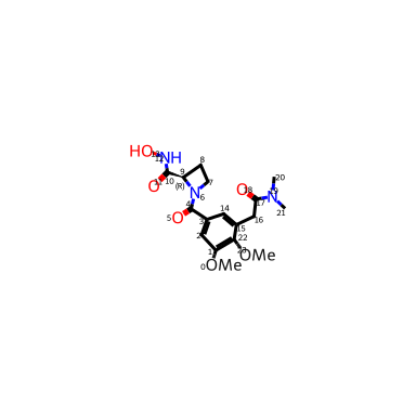 COc1cc(C(=O)N2CC[C@@H]2C(=O)NO)cc(CC(=O)N(C)C)c1OC